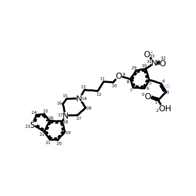 O=C(O)/C=C\c1ccc(OCCCCN2CCN(c3cccc4sccc34)CC2)cc1[N+](=O)[O-]